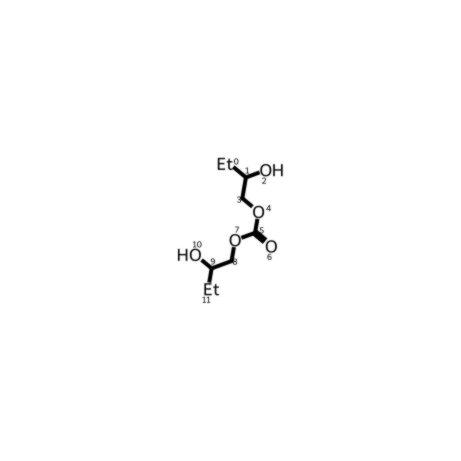 CCC(O)COC(=O)OCC(O)CC